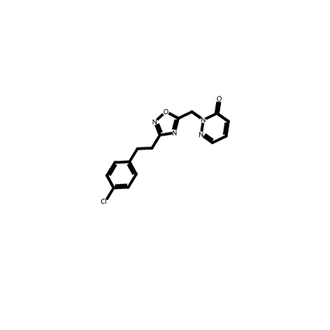 O=c1cccnn1Cc1nc(CCc2ccc(Cl)cc2)no1